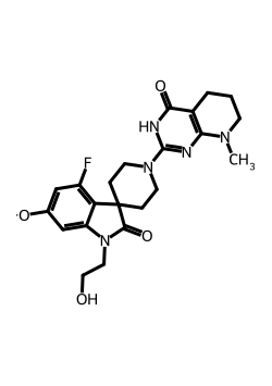 CN1CCCc2c1nc(N1CCC3(CC1)C(=O)N(CCO)c1cc([O])cc(F)c13)[nH]c2=O